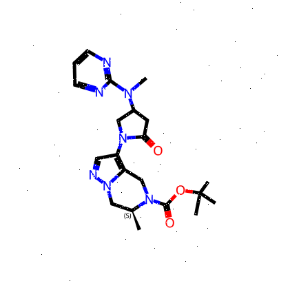 C[C@H]1Cn2ncc(N3CC(N(C)c4ncccn4)CC3=O)c2CN1C(=O)OC(C)(C)C